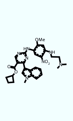 COc1cc(NCCN(C)C)c([N+](=O)[O-])cc1Nc1ncc(C(=O)OC2CCC2)c(-c2cn(C)c3ccccc23)n1